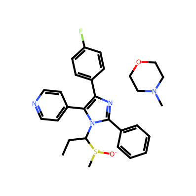 CCC(n1c(-c2ccccc2)nc(-c2ccc(F)cc2)c1-c1ccncc1)[S+](C)[O-].CN1CCOCC1